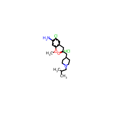 COc1cc(N)c(Cl)cc1CC(=O)CC1CCN(CC(C)C)CC1.Cl